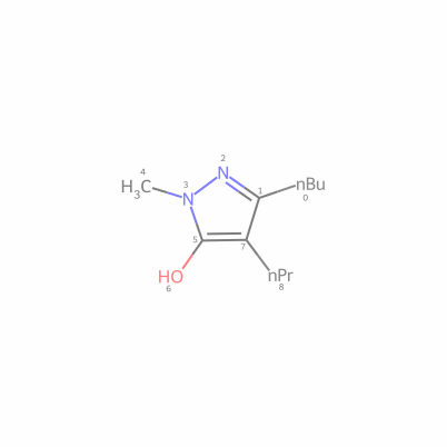 CCCCc1nn(C)c(O)c1CCC